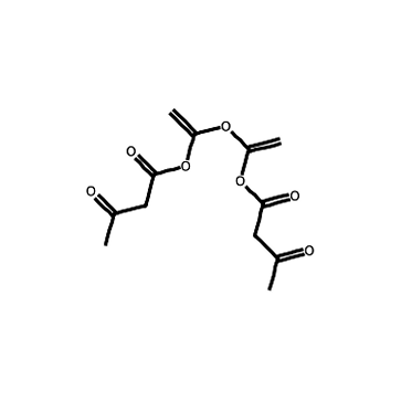 C=C(OC(=C)OC(=O)CC(C)=O)OC(=O)CC(C)=O